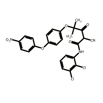 CC(C)(Oc1ccc(Oc2ccc([N+](=O)[O-])cc2)cc1)C(=O)C(C#N)C(=O)Nc1cccc(Cl)c1Cl